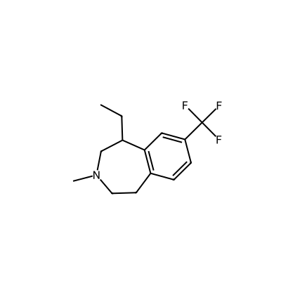 CCC1CN(C)CCc2ccc(C(F)(F)F)cc21